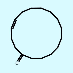 O=C1CCC=CCCCCCCCCCCC1